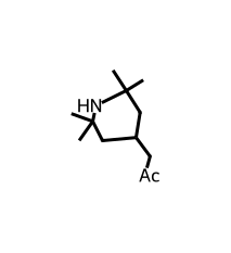 CC(=O)CC1CC(C)(C)NC(C)(C)C1